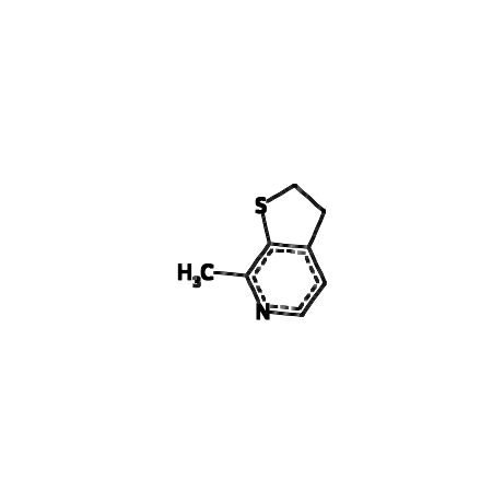 Cc1nccc2c1SCC2